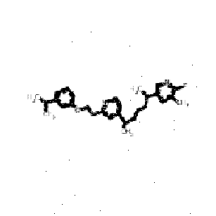 Cc1cc(C(C)CCCC(C)c2ccnc(CCOc3cccc(C(C)C)c3)c2)cnc1F